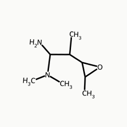 CC1OC1C(C)C(N)N(C)C